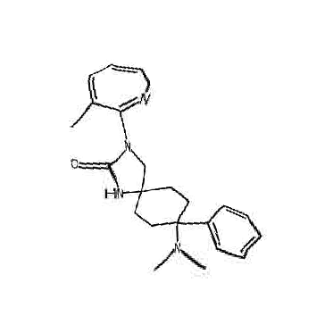 Cc1cccnc1N1CC2(CCC(c3ccccc3)(N(C)C)CC2)NC1=O